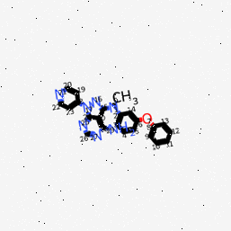 CN(c1cccc(Oc2ccccc2)c1)c1nn(-c2ccncc2)c2ncnc(N)c12